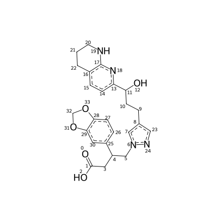 O=C(O)CC(Cn1cc(CCC(O)c2ccc3c(n2)NCCC3)cn1)c1ccc2c(c1)OCO2